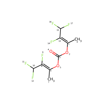 CC(OC(=O)OC(C)=C(F)C(F)F)=C(F)C(F)F